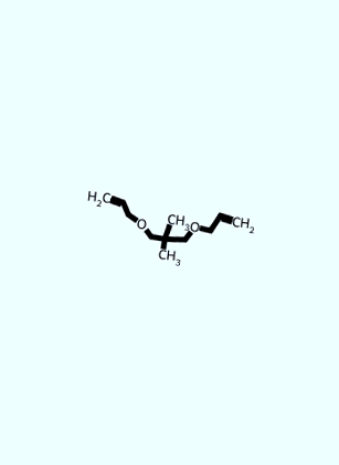 C=CCOCC(C)(C)COCC=C